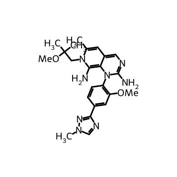 COc1cc(-c2ncn(C)n2)ccc1N1C(N)=NC=C2C=C(C)N(CC(C)(C)OC)C(N)=C21